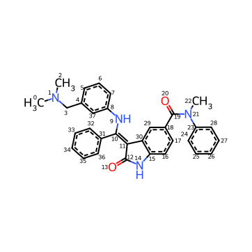 CN(C)Cc1cccc(NC(=C2C(=O)Nc3ccc(C(=O)N(C)c4ccccc4)cc32)c2ccccc2)c1